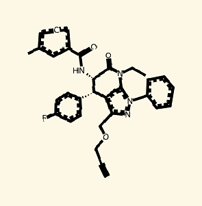 C#CCOCc1nn(-c2ccccc2)c2c1[C@H](c1ccc(F)cc1)[C@H](NC(=O)c1cccc(C)c1)C(=O)N2CC